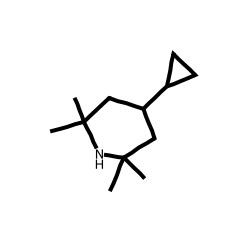 CC1(C)CC(C2CC2)CC(C)(C)N1